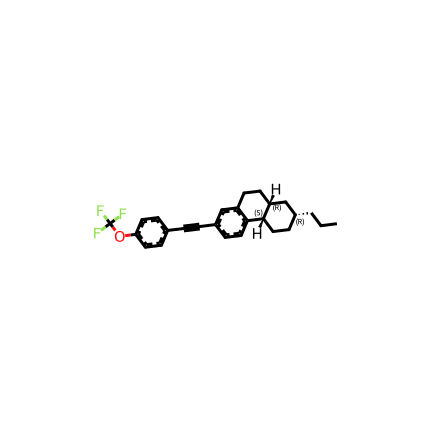 CCC[C@@H]1CC[C@@H]2c3ccc(C#Cc4ccc(OC(F)(F)F)cc4)cc3CC[C@@H]2C1